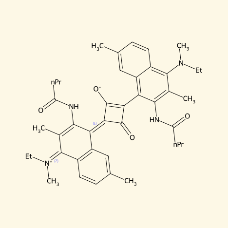 CCCC(=O)NC1=C(C)C(=[N+](/C)CC)/c2ccc(C)cc2/C1=C1\C(=O)C(c2c(NC(=O)CCC)c(C)c(N(C)CC)c3ccc(C)cc23)=C1[O-]